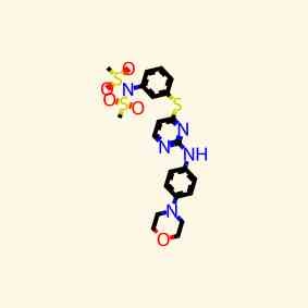 CS(=O)(=O)N(c1cccc(Sc2ccnc(Nc3ccc(N4CCOCC4)cc3)n2)c1)S(C)(=O)=O